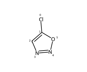 Clc1[c]nno1